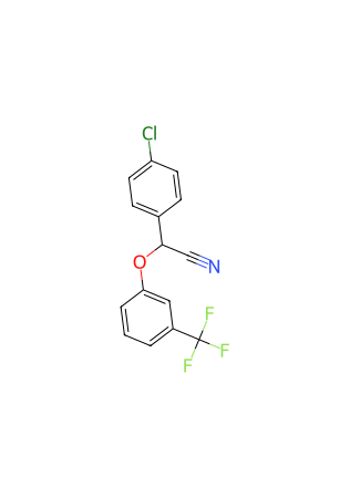 N#CC(Oc1cccc(C(F)(F)F)c1)c1ccc(Cl)cc1